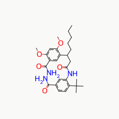 CCCCCC(CC(=O)Nc1cc(C(N)=O)ccc1C(C)(C)C)c1cc(C(N)=O)c(OC)cc1OC